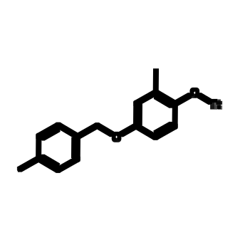 CCOc1ccc(OCc2ccc(C)cc2)cc1C